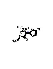 CCOC(=O)/C(=C1\SC=C(O)S1)S(C)(=O)=O